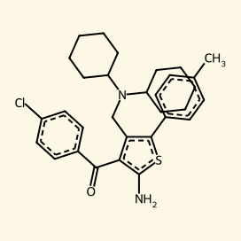 Cc1ccc(-c2sc(N)c(C(=O)c3ccc(Cl)cc3)c2CN(C2CCCCC2)C2CCCCC2)cc1